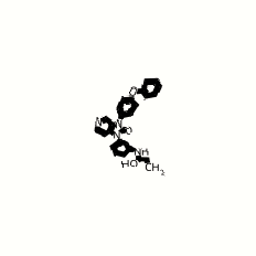 C=CC(O)Nc1cccc(-n2c(=O)n(-c3ccc(Oc4ccccc4)cc3)c3cnccc32)c1